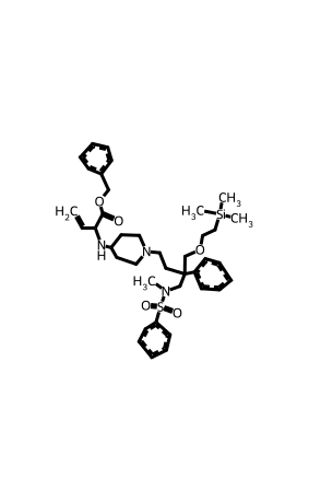 C=CC(NC1CCN(CCC(COCC[Si](C)(C)C)(CN(C)S(=O)(=O)c2ccccc2)c2ccccc2)CC1)C(=O)OCc1ccccc1